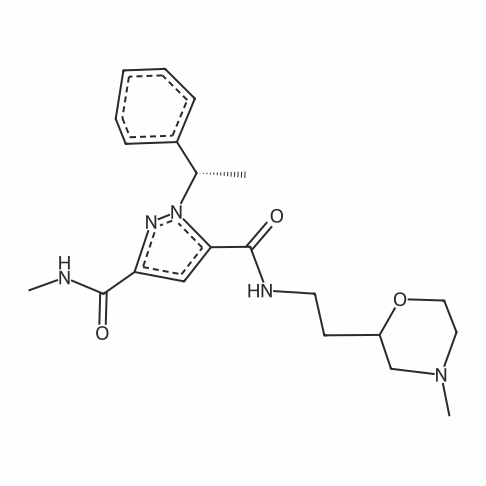 CNC(=O)c1cc(C(=O)NCCC2CN(C)CCO2)n([C@@H](C)c2ccccc2)n1